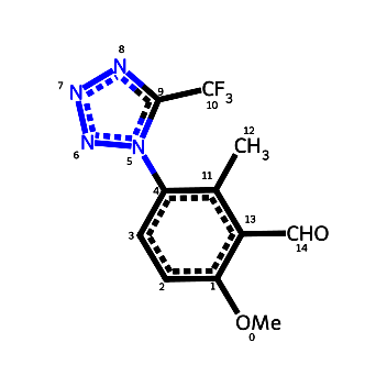 COc1ccc(-n2nnnc2C(F)(F)F)c(C)c1C=O